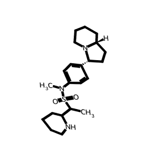 CC(C1CCCCN1)S(=O)(=O)N(C)c1ccc([C@H]2CC[C@H]3CCCCN32)cc1